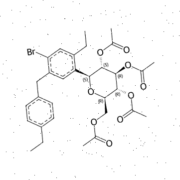 CCc1ccc(Cc2cc([C@@H]3O[C@H](COC(C)=O)[C@@H](OC(C)=O)[C@H](OC(C)=O)[C@H]3OC(C)=O)c(CC)cc2Br)cc1